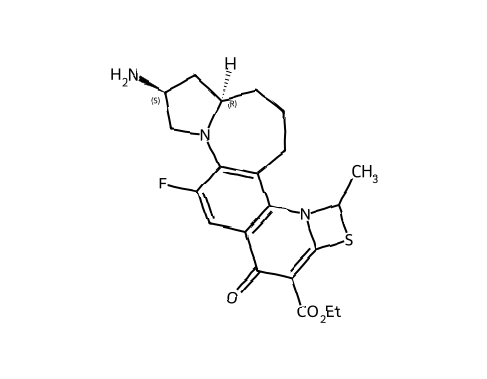 CCOC(=O)c1c2n(c3c4c(c(F)cc3c1=O)N1C[C@@H](N)C[C@H]1CCC4)C(C)S2